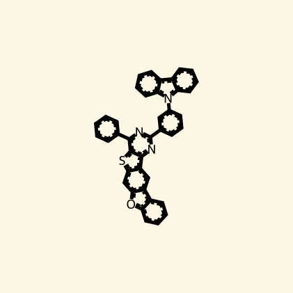 c1ccc(-c2nc(-c3cccc(-n4c5ccccc5c5ccccc54)c3)nc3c2sc2cc4oc5ccccc5c4cc23)cc1